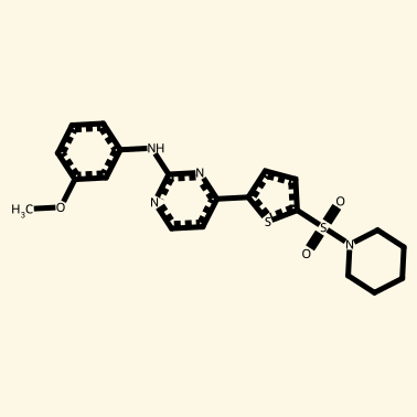 COc1cccc(Nc2nccc(-c3ccc(S(=O)(=O)N4CCCCC4)s3)n2)c1